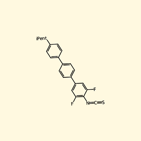 CCCC(C)c1ccc(-c2ccc(-c3cc(F)c(N=C=S)c(F)c3)cc2)cc1